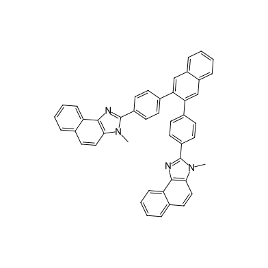 Cn1c(-c2ccc(-c3cc4ccccc4cc3-c3ccc(-c4nc5c6ccccc6ccc5n4C)cc3)cc2)nc2c3ccccc3ccc21